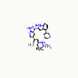 C=C/C(=C\C(=C/C)c1cnc2[nH]nc(-c3cc4c(-c5cccnc5)cccc4[nH]3)c2c1)NC(C)C